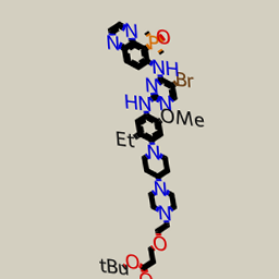 CCc1cc(Nc2ncc(Br)c(Nc3ccc4nccnc4c3P(C)(C)=O)n2)c(OC)cc1N1CCC(N2CCN(CCOCCC(=O)OC(C)(C)C)CC2)CC1